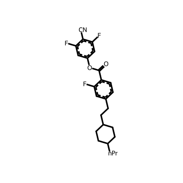 CCCC1CCC(CCc2ccc(C(=O)Oc3cc(F)c(C#N)c(F)c3)c(F)c2)CC1